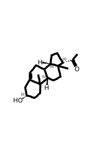 CC(=O)[C@H]1CC[C@H]2C3CC=C4C[C@@H](O)CCC4(C)[C@H]3CCC12C